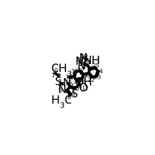 CCCSc1nc2c(C)sc(C(=O)O)c2n1Cc1ccc(-c2ccccc2-c2nnn[nH]2)cc1